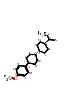 CC([SiH3])[C@H]1CC[C@H](C2CCC(c3ccc(OC(F)(F)F)cc3)CC2)CC1